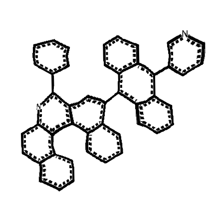 c1ccc(-c2nc3ccc4ccccc4c3c3c2cc(-c2c4ccccc4c(-c4cccnc4)c4ccccc24)c2ccccc23)cc1